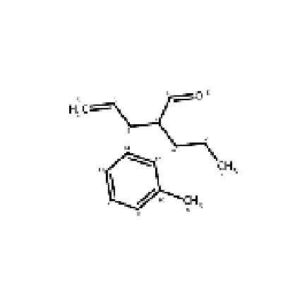 C=CCC(C=O)CCC.Cc1ccccc1